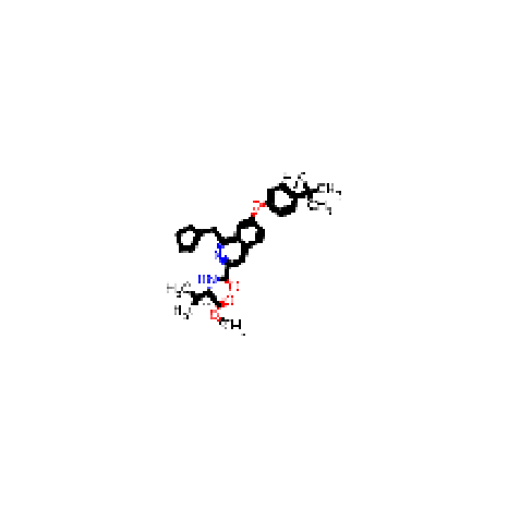 COC(=O)[C@@H](NC(=O)c1cc2ccc(Oc3ccc(C(C)(C)C)cc3)cc2c(CC2CCCC2)n1)C(C)C